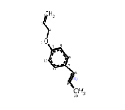 C=CCOc1ccc(/C=C/C)cc1